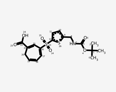 CC(C)(C)OC(=O)NCc1ccc(S(=O)(=O)C2=CC=CCC(C(=O)O)=C2)s1